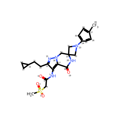 CS(=O)(=O)CC(=O)Nc1c(CCC2CC2)nn2c1C(=O)NC1(CN(c3ccc(C(F)(F)F)cc3)C1)C2